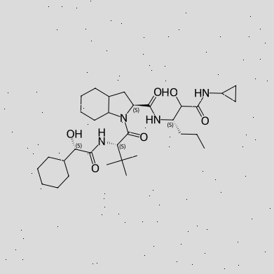 CCC[C@H](NC(=O)[C@@H]1CC2CCCCC2N1C(=O)[C@@H](NC(=O)[C@@H](O)C1CCCCC1)C(C)(C)C)C(O)C(=O)NC1CC1